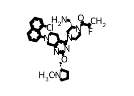 C=C(F)C(=O)N1CCN(c2nc(OC[C@@H]3CCCN3C)nc3c2CCN(c2cccc4cccc(Cl)c24)C3)C[C@@H]1CN